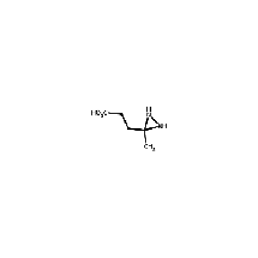 CC1(CCC(=O)O)NN1